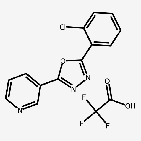 Clc1ccccc1-c1nnc(-c2cccnc2)o1.O=C(O)C(F)(F)F